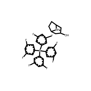 C[NH+]1C2CCC1CC(O)C2.Fc1cc(F)cc([B-](c2cc(F)cc(F)c2)(c2cc(F)cc(F)c2)c2cc(F)cc(F)c2)c1